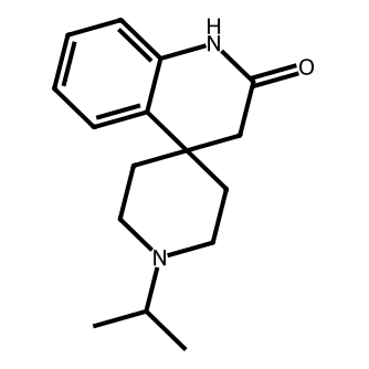 CC(C)N1CCC2(CC1)CC(=O)Nc1ccccc12